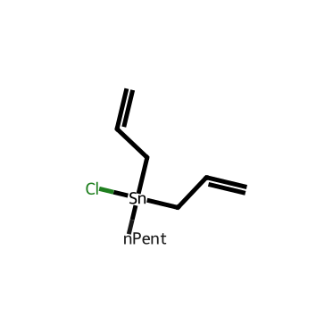 C=C[CH2][Sn]([Cl])([CH2]C=C)[CH2]CCCC